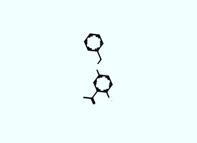 CC(=O)c1cc(OCc2ccccc2)ccc1Br